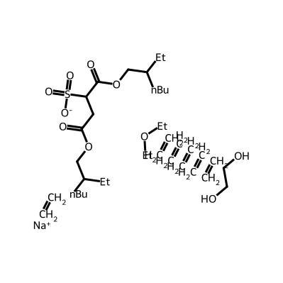 C=C.C=C.C=C.C=C.C=C.C=C.CCCCC(CC)COC(=O)CC(C(=O)OCC(CC)CCCC)S(=O)(=O)[O-].CCOCC.OCCO.[Na+]